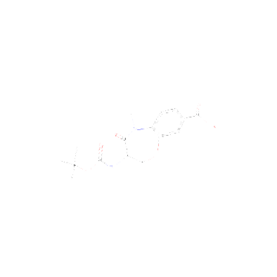 CN1C(=O)C(NC(=O)OC(C)(C)C)COc2cc(C(=O)O)ccc21